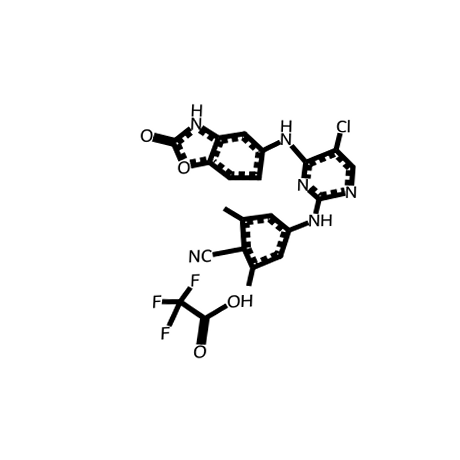 Cc1cc(Nc2ncc(Cl)c(Nc3ccc4oc(=O)[nH]c4c3)n2)cc(C)c1C#N.O=C(O)C(F)(F)F